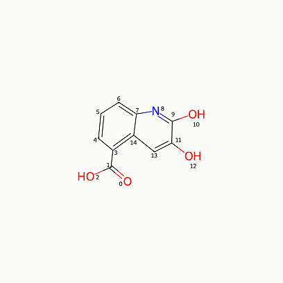 O=C(O)c1cccc2nc(O)c(O)cc12